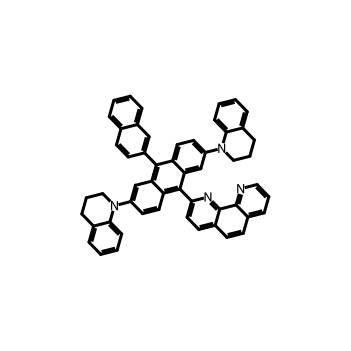 c1ccc2c(c1)CCCN2c1ccc2c(-c3ccc4ccc5cccnc5c4n3)c3cc(N4CCCc5ccccc54)ccc3c(-c3ccc4ccccc4c3)c2c1